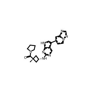 C[C@]1(C(=O)N2CCCC2)C[C@@H](Nc2ncc3c(-c4ccn5ncnc5c4)c[nH]c3n2)C1